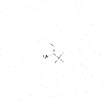 CC[C@@H](N)C(C)(C)C